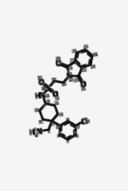 NCC1(c2cccc(Cl)c2)CCC(NS(=O)(=O)CCN2C(=O)c3ccccc3C2=O)CC1